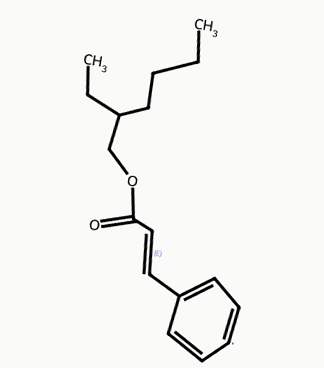 CCCCC(CC)COC(=O)/C=C/c1cc[c]cc1